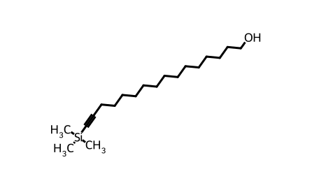 C[Si](C)(C)C#CCCCCCCCCCCCCCCO